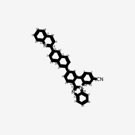 N#Cc1ccc2c3cc(-c4ccc5cc(-c6ccc7ccccc7n6)ccc5c4)ccc3c3nc4ccccc4n3c2c1